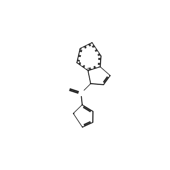 [CH2]=[Ti]([C]1=CC=CC1)[CH]1C=Cc2ccccc21